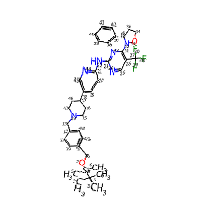 CC(C)(C)[Si](C)(C)OCc1ccc(CN2CCC(c3ccc(Nc4ncc(C(F)(F)F)c(N5OCC[C@H]5c5ccccc5)n4)nc3)CC2)cc1